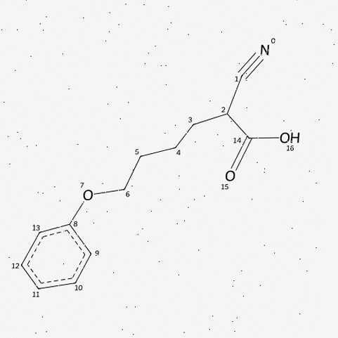 N#CC(CCCCOc1ccccc1)C(=O)O